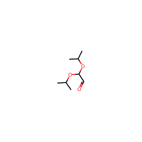 CC(C)OC(C=O)OC(C)C